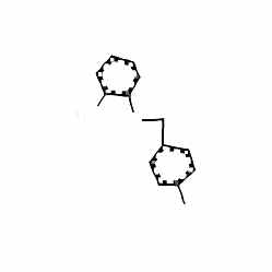 Oc1ccccc1OCc1ccc(I)cc1